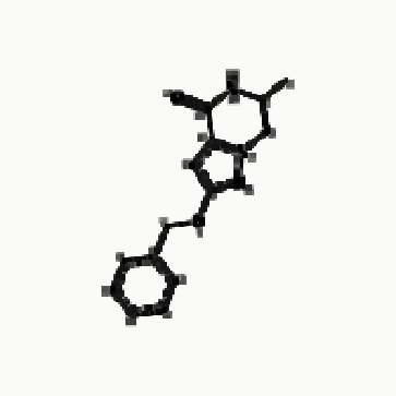 CC1Cn2nc(OCc3ccccc3)cc2C(=O)N1